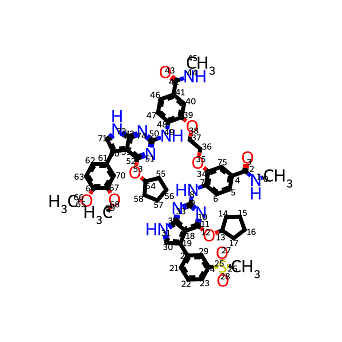 CNC(=O)c1ccc(Nc2nc(OC3CCCC3)c3c(-c4cccc(S(C)(=O)=O)c4)c[nH]c3n2)c(OCCOc2cc(C(=O)NC)ccc2Nc2nc(OC3CCCC3)c3c(-c4ccc(OC)c(OC)c4)c[nH]c3n2)c1